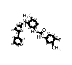 Cc1cc(NC(=O)Nc2ccc(C)c(Nc3nc(-c4cccnc4)cs3)c2)ccc1F